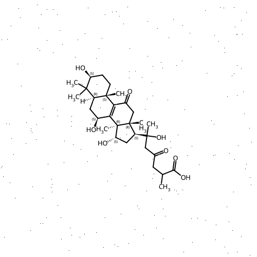 CC(CC(=O)CC(C)(O)[C@H]1C[C@H](O)[C@@]2(C)C3=C(C(=O)C[C@]12C)[C@@]1(C)CC[C@H](O)C(C)(C)[C@@H]1C[C@@H]3O)C(=O)O